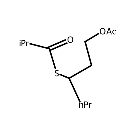 CCCC(CCOC(C)=O)SC(=O)C(C)C